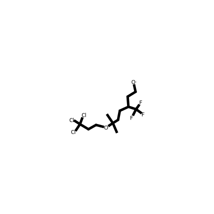 CC(C)(CCC(CC[O])C(F)(F)F)OCCC(Cl)(Cl)Cl